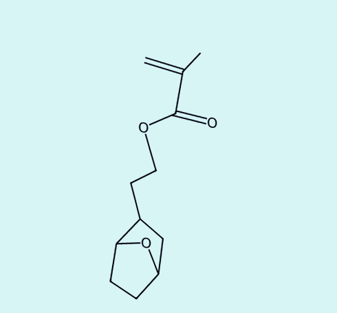 C=C(C)C(=O)OCCC1CC2CCC1O2